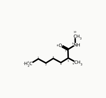 [CH2]CCCCC(C)C(=O)NC